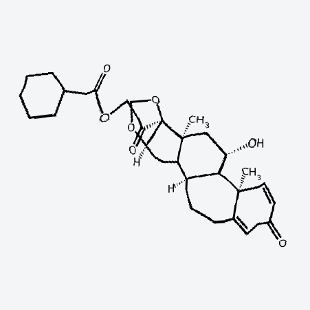 C[C@]12C=CC(=O)C=C1CC[C@@H]1C2[C@@H](O)C[C@@]2(C)C1C[C@H]1OCO[C@]12C(=O)COC(=O)C1CCCCC1